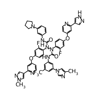 Cc1cn(-c2cc(NC(=O)N(c3ccc(Oc4ccnc(-c5cn[nH]c5)c4)cc3F)N(C(=O)Nc3cccc(N4CCCC4)c3)c3ccc(Oc4ccnc(-c5cnn(C)c5)c4)cc3F)cc(C(F)(F)F)c2)cn1